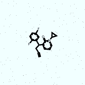 C#CCC(c1cc(F)ccc1F)c1cccn(C2CC2)c1=O